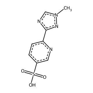 Cn1cnc(-c2ccc(S(=O)(=O)O)cn2)n1